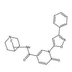 O=C(NC1CN2CCC1CC2)c1ccc(=O)n(-c2cc(-c3ccccc3)no2)c1